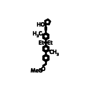 CCC(CC)(c1ccc(C#CC2(O)CCCC2)c(C)c1)c1ccc(-c2ccc(CCOOC)cc2)c(C)c1